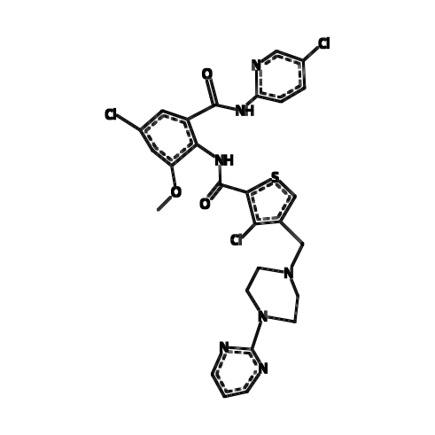 COc1cc(Cl)cc(C(=O)Nc2ccc(Cl)cn2)c1NC(=O)c1scc(CN2CCN(c3ncccn3)CC2)c1Cl